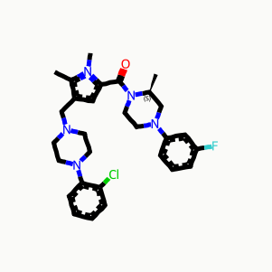 Cc1c(CN2CCN(c3ccccc3Cl)CC2)cc(C(=O)N2CCN(c3cccc(F)c3)C[C@@H]2C)n1C